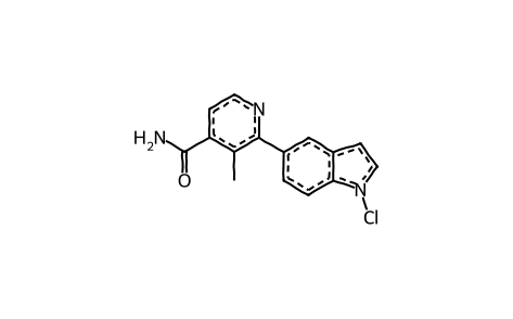 Cc1c(C(N)=O)ccnc1-c1ccc2c(ccn2Cl)c1